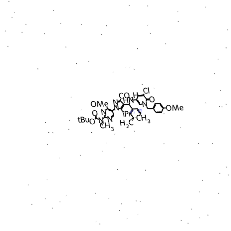 C=C/C=C(\C=C/C)C(Nc1cc(Cl)c(=O)n(Cc2ccc(OC)cc2)c1)c1c(C(=O)O)nn(-c2cnc(N(C)C(=O)OC(C)(C)C)nc2OC)c1C(C)C